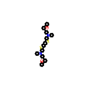 c1ccc(N(c2ccc(-c3cccc4c3oc3ccccc34)cc2)c2ccc3c(c2)sc2cc4cc5c(cc4cc23)sc2cc(N(c3ccccc3)c3ccc(-c4cccc6c4oc4ccccc46)cc3)ccc25)cc1